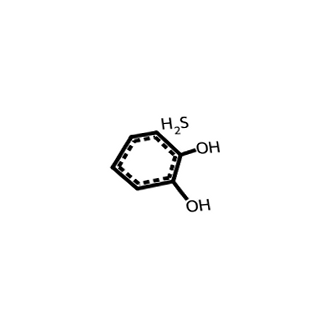 Oc1ccccc1O.S